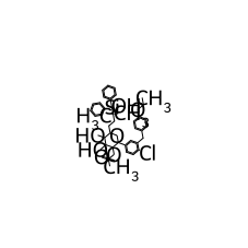 CCOc1ccc(Cc2cc(C3OC(CCC(C)(C)[Si](O)(c4ccccc4)c4ccccc4)C(O)C(O)C3OC(C)=O)ccc2Cl)cc1